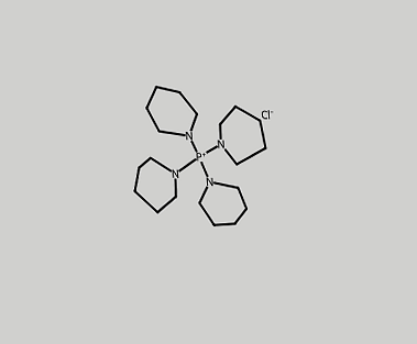 C1CCN([P+](N2CCCCC2)(N2CCCCC2)N2CCCCC2)CC1.[Cl-]